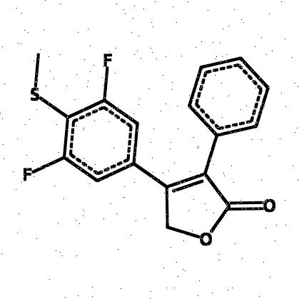 CSc1c(F)cc(C2=C(c3ccccc3)C(=O)OC2)cc1F